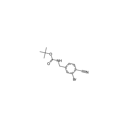 CC(C)(C)OC(=O)NCc1ccc(C#N)c(Br)c1